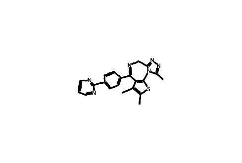 Cc1sc2c(c1C)C(c1ccc(-c3ncccn3)cc1)=NCc1nnc(C)n1-2